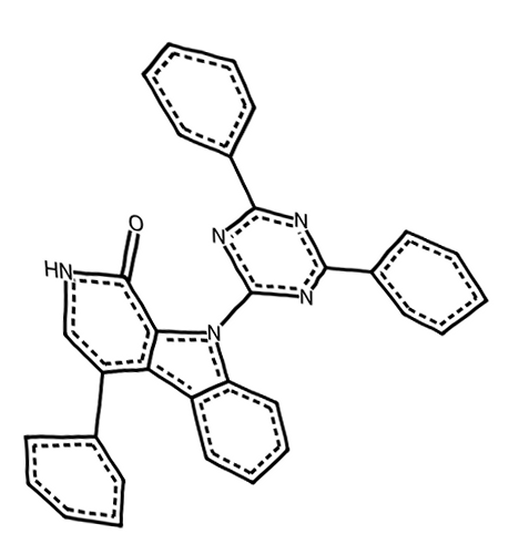 O=c1[nH]cc(-c2ccccc2)c2c3ccccc3n(-c3nc(-c4ccccc4)nc(-c4ccccc4)n3)c12